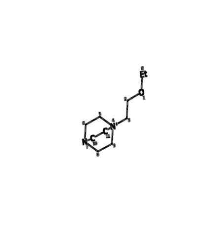 CCOCC[N+]12CCN(CC1)CC2